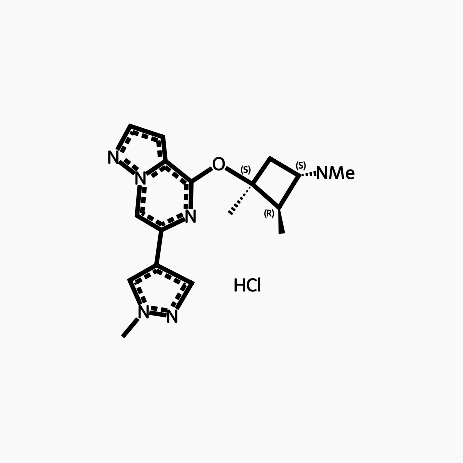 CN[C@H]1C[C@](C)(Oc2nc(-c3cnn(C)c3)cn3nccc23)[C@@H]1C.Cl